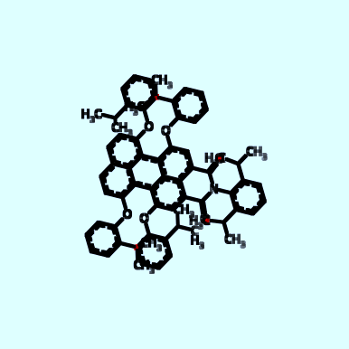 CC(C)c1ccccc1Oc1ccc2ccc(Oc3ccccc3C(C)C)c3c4c(Oc5ccccc5C(C)C)cc5c6c(cc(Oc7ccccc7C(C)C)c(c1c23)c64)C(=O)N(c1c(C(C)C)cccc1C(C)C)C5=O